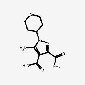 NC(=O)c1nn(C2CCOCC2)c(N)c1C(N)=O